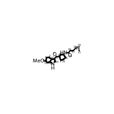 COc1ccc2c(C(=O)c3cccc(NC(=O)C=CCN(C)C)c3)c[nH]c2c1